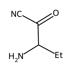 CCC(N)C(=O)C#N